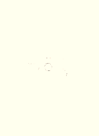 CC(C)(C)OC=O.COC(=O)c1ccc(CCN2CCCC2=O)cc1